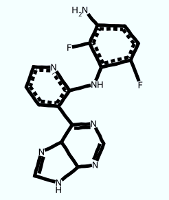 Nc1ccc(F)c(Nc2ncccc2C2=NC=NC3NC=NC23)c1F